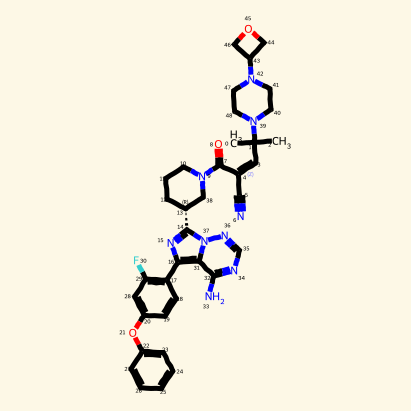 CC(C)(/C=C(/C#N)C(=O)N1CCC[C@@H](c2nc(-c3ccc(Oc4ccccc4)cc3F)c3c(N)ncnn23)C1)N1CCN(C2COC2)CC1